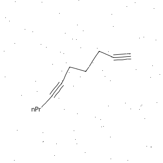 C#CCCCC#CCCC